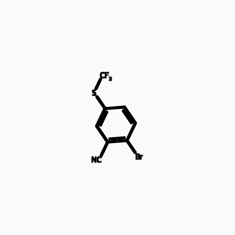 N#Cc1cc(SC(F)(F)F)ccc1Br